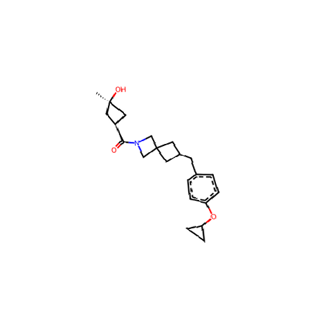 C[C@]1(O)C[C@@H](C(=O)N2CC3(CC(Cc4ccc(OC5CC5)cc4)C3)C2)C1